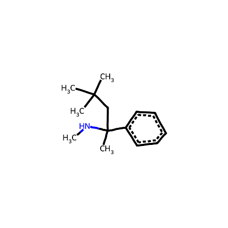 CNC(C)(CC(C)(C)C)c1ccccc1